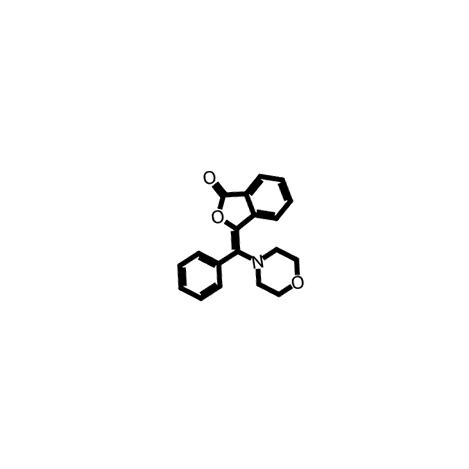 O=C1OC(=C(c2ccccc2)N2CCOCC2)c2ccccc21